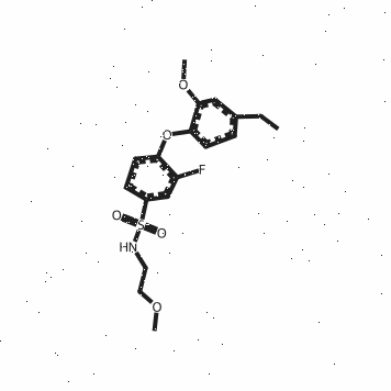 CCc1ccc(Oc2ccc(S(=O)(=O)NCCOC)cc2F)c(OC)c1